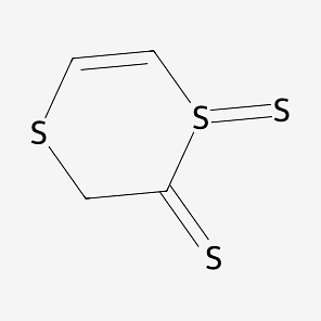 S=C1CSC=CS1=S